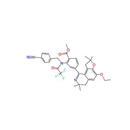 CCOc1cc2c(c3c1OC(C)(C)C3)C(c1ccc(C(=O)OC)c(N(Cc3ccc(C#N)cc3)C(=O)C(F)(F)F)c1)=NC(C)(C)C2